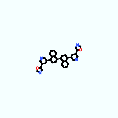 c1ccc2c(-c3ccc(-c4cncc(-c5cnco5)c4)c4ccccc34)ccc(-c3cncc(-c4cnco4)c3)c2c1